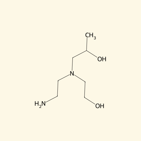 CC(O)CN(CCN)CCO